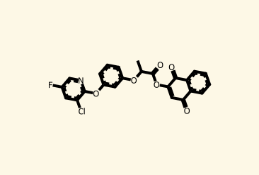 CC(Oc1cccc(Oc2ncc(F)cc2Cl)c1)C(=O)OC1=CC(=O)c2ccccc2C1=O